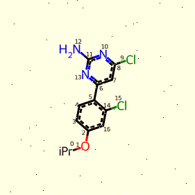 CC(C)Oc1ccc(-c2cc(Cl)nc(N)n2)c(Cl)c1